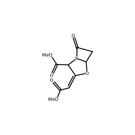 COC(=O)/C=C1/OC2CC(=O)N2C1C(=O)OC